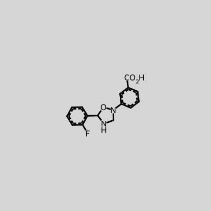 O=C(O)c1cccc(N2CNC(c3ccccc3F)O2)c1